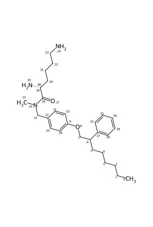 CCCCCCC(COc1ccc(CN(C)C(=O)[C@H](N)CCCCN)cc1)c1ccccc1